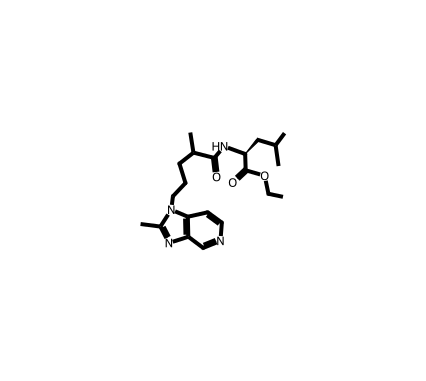 CCOC(=O)[C@H](CC(C)C)NC(=O)C(C)CCCn1c(C)nc2cnccc21